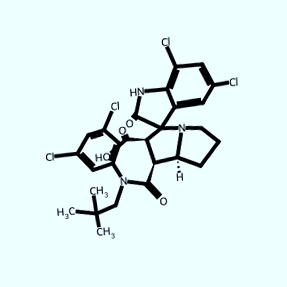 CC(C)(C)CN(C(=O)[C@H]1[C@@H](C(=O)O)C2(C(=O)Nc3c(Cl)cc(Cl)cc32)N2CCC[C@@H]12)c1cc(Cl)cc(Cl)c1